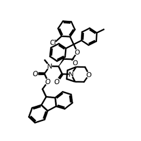 Cc1ccc(C(OC(=O)C[C@@H](C(=O)N2C3CCC2COC3)N(C)C(=O)OCC2c3ccccc3-c3ccccc32)(c2ccccc2)c2ccccc2Cl)cc1